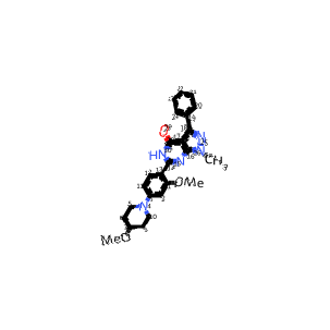 COc1cc(N2CCC(OC)CC2)ccc1-c1nc2c(c(-c3ccccc3)nn2C)c(=O)[nH]1